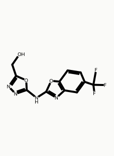 OCc1nnc(Nc2nc3cc(C(F)(F)F)ccc3o2)o1